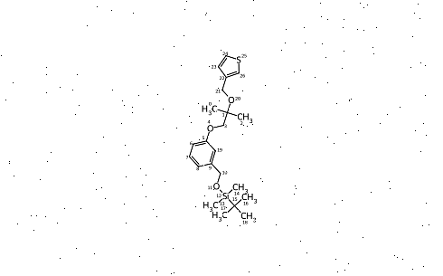 CC(C)(COc1cccc(CO[Si](C)(C)C(C)(C)C)c1)OCc1ccsc1